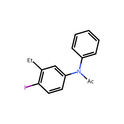 CCc1cc(N(C(C)=O)c2ccccc2)ccc1I